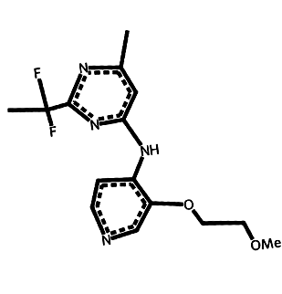 COCCOc1cnccc1Nc1cc(C)nc(C(C)(F)F)n1